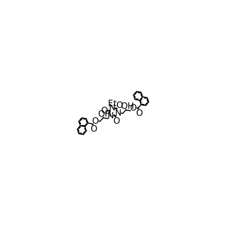 CCn1c(=O)n(CC(O)COC(=O)c2cccc3ccccc23)c(=O)n(CC(O)COC(=O)c2cccc3ccccc23)c1=O